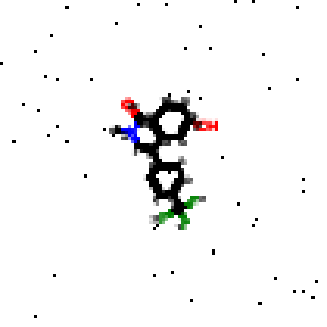 Cn1cc(-c2ccc(C(F)(F)F)cc2)c2cc(O)ccc2c1=O